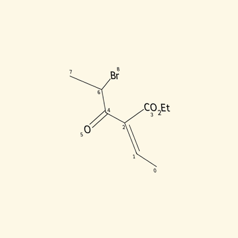 C/C=C(\C(=O)OCC)C(=O)C(C)Br